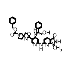 Cn1[nH]c(=O)c2ccc(Nc3cc(N[C@H](CO)c4ccccc4)c(C4=NC5(CCN(C(=O)OCc6ccccc6)C5)CO4)cn3)nc21